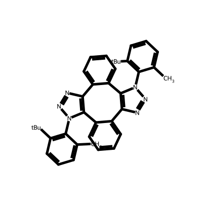 Cc1cccc(C(C)(C)C)c1-n1nnc2c1-c1ccccc1-c1nnn(-c3c(C)cccc3C(C)(C)C)c1-c1ccccc1-2